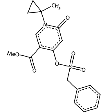 COC(=O)c1cn(C2(C)CC2)c(=O)cc1OS(=O)(=O)Cc1ccccc1